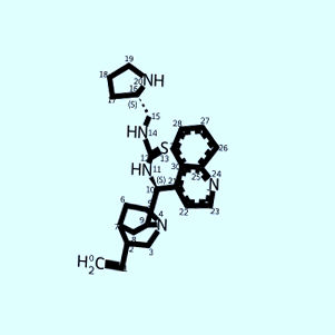 C=CC1CN2CCC1CC2[C@@H](NC(=S)NC[C@@H]1CCCN1)c1ccnc2ccccc12